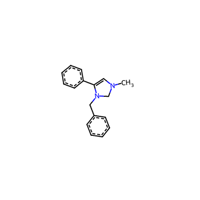 CN1C=C(c2ccccc2)N(Cc2ccccc2)C1